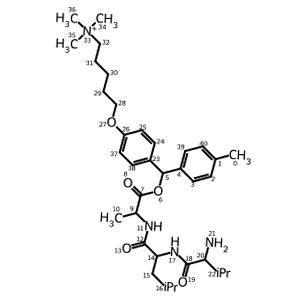 Cc1ccc(C(OC(=O)C(C)NC(=O)C(CC(C)C)NC(=O)C(N)C(C)C)c2ccc(OCCCCC[N+](C)(C)C)cc2)cc1